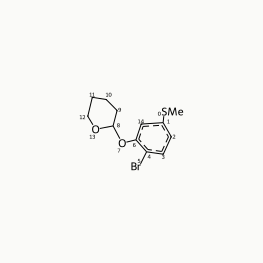 CSc1ccc(Br)c(OC2CCCCO2)c1